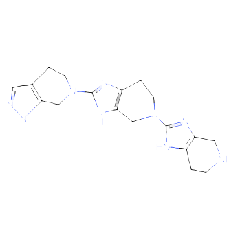 c1n[nH]c2c1CCN(c1nc3c([nH]1)CN(c1nc4c([nH]1)CCNC4)CC3)C2